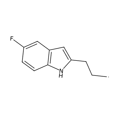 [CH2]CCc1cc2cc(F)ccc2[nH]1